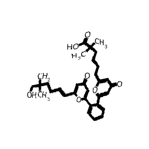 CC(C)(CO)CCCCc1cc(=O)cc(-c2ccccc2-c2cc(=O)cc(CCCCC(C)(C)C(=O)O)o2)o1